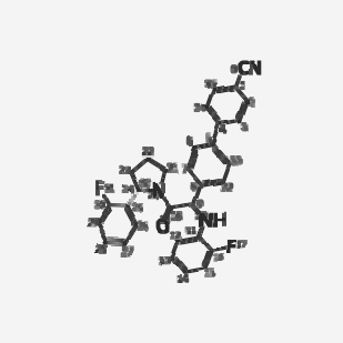 N#Cc1ccc(-c2ccc(C(Nc3ccccc3F)C(=O)N3CCC[C@H]3c3ccccc3F)cc2)cc1